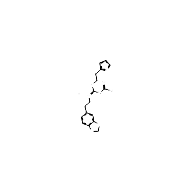 Cl.N=C(N)NC(=NCCc1ccc2c(c1)OCO2)NCCc1cccs1